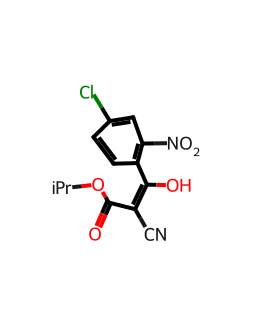 CC(C)OC(=O)C(C#N)=C(O)c1ccc(Cl)cc1[N+](=O)[O-]